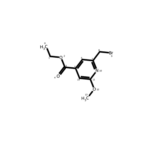 CCOC(=O)c1cc(CBr)nc(OC)c1